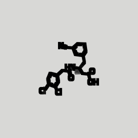 N#Cc1cccc(C[C@@H](CC(=O)O)NC(=O)Cc2ccc(Cl)c(Cl)c2)c1